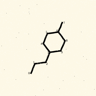 CCCC1CCC(C)CC1